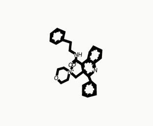 O=C(NCCc1ccccc1)c1c(C[N+]2([O-])CCOCC2)c(-c2ccccc2)nc2ccccc12